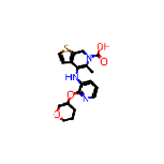 CC1=C(Nc2cccnc2OC2CCCOC2)c2ccsc2CN1C(=O)O